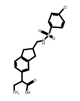 CCC(C(=O)O)c1ccc2c(c1)CC(CNS(=O)(=O)c1ccc(Cl)cc1)C2